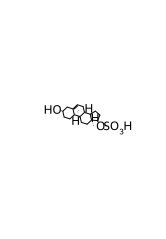 C[C@]12CC[C@H]3[C@@H](CC=C4C[C@@H](O)CC[C@@]43C)[C@@H]1CC[C@@H]2OS(=O)(=O)O